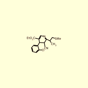 CCOC(=O)C1=CN=C(C(C)CSC)C(C#N)C1c1ccccc1Cl